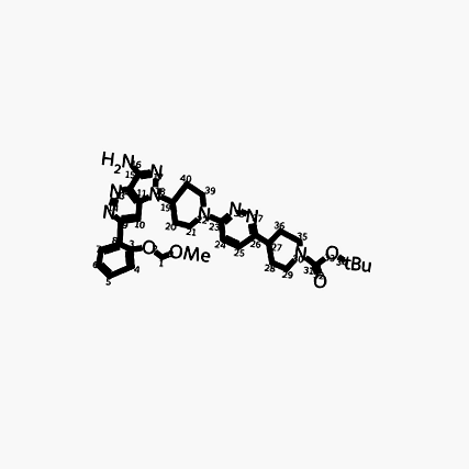 COCOc1ccccc1-c1cc2c(nn1)c(N)nn2C1CCN(c2ccc(C3CCN(C(=O)OC(C)(C)C)CC3)nn2)CC1